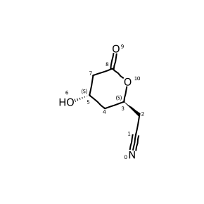 N#CC[C@H]1C[C@H](O)CC(=O)O1